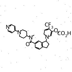 CN(C(=O)c1ccc2c(c1)C(N1C=C(OC(=O)O)C(C(F)(F)F)=CC1)CC2)C1CCN(c2ccncc2)CC1